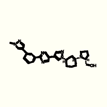 Cn1cc(-c2cccc(-c3ncc(-c4cnn([C@H]5CCC[C@@H](N6CCC[C@@H]6CO)C5)c4)cn3)c2)cn1